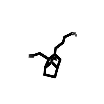 CCCCC1CC2CCC(C1CO)N2C